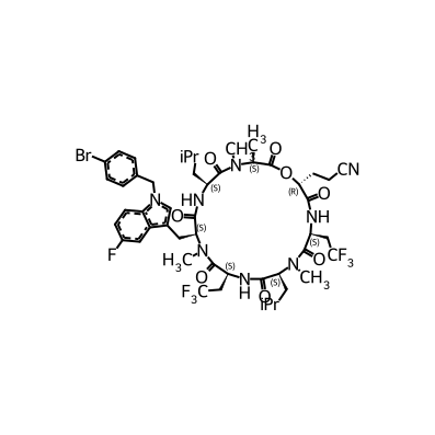 CC(C)C[C@@H]1NC(=O)[C@H](Cc2cn(Cc3ccc(Br)cc3)c3ccc(F)cc23)N(C)C(=O)[C@H](CC(F)(F)F)NC(=O)[C@H](CC(C)C)N(C)C(=O)[C@H](CC(F)(F)F)NC(=O)[C@@H](CCC#N)OC(=O)[C@H](C)N(C)C1=O